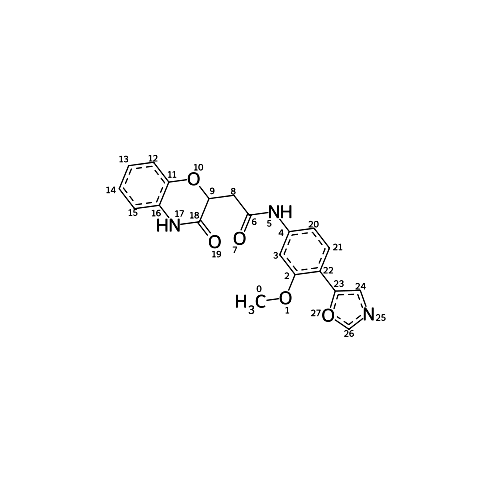 COc1cc(NC(=O)CC2Oc3ccccc3NC2=O)ccc1-c1cnco1